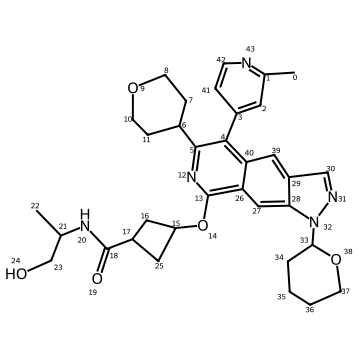 Cc1cc(-c2c(C3CCOCC3)nc(OC3CC(C(=O)NC(C)CO)C3)c3cc4c(cnn4C4CCCCO4)cc23)ccn1